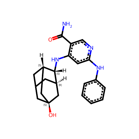 NC(=O)c1cnc(Nc2ccccc2)cc1N[C@@H]1[C@@H]2CC3C[C@H]1C[C@@](O)(C3)C2